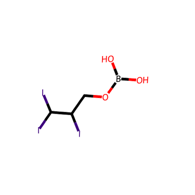 OB(O)OCC(I)C(I)I